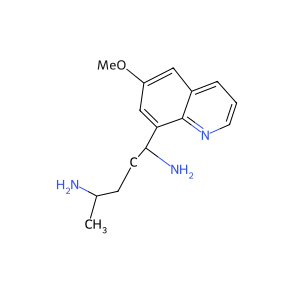 COc1cc(C(N)CCC(C)N)c2ncccc2c1